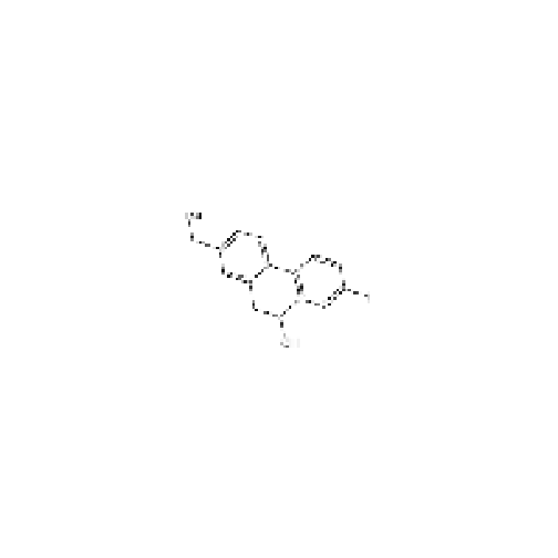 CCC(C)Cc1ccc2c(c1)CC(O)c1cc(I)ccc1-2